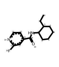 CCC1CCCCC1NC(=O)c1ccnc(F)c1